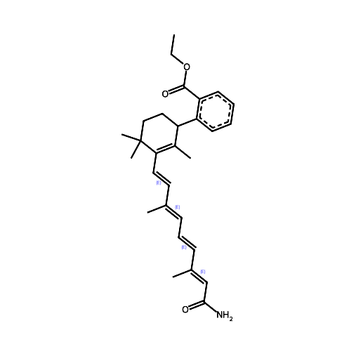 CCOC(=O)c1ccccc1C1CCC(C)(C)C(/C=C/C(C)=C/C=C/C(C)=C/C(N)=O)=C1C